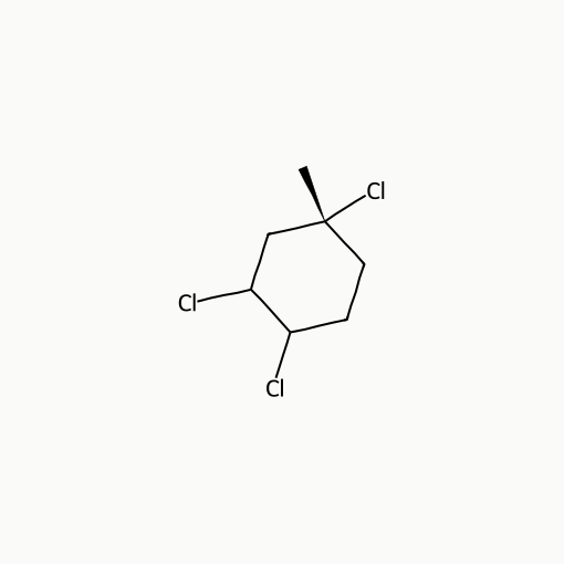 C[C@@]1(Cl)CCC(Cl)C(Cl)C1